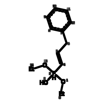 CCO[PH](O)(/C=C/Cc1ccccc1)OCC